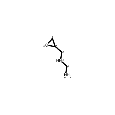 NCNCC1CO1